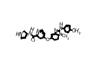 Cc1ccc(Nc2nc3cc(Oc4ccnc(C(=O)N[C@@H]5CCNC5)c4)ccc3n2C)cc1